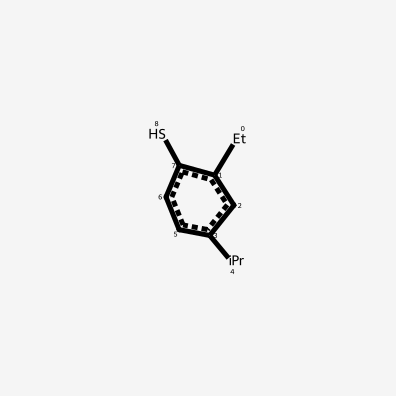 CCc1cc(C(C)C)ccc1S